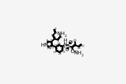 C=C/C=C(\C=C/N)c1c[nH]nc1-c1cccc(NS(=O)(=O)/C(ON)=C(\C)C=C)c1